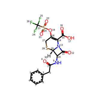 O=C(Cc1ccccc1)NC1C(=O)N2C(C(=O)O)=C(OS(=O)(=O)C(F)(F)F)CS[C@@H]12